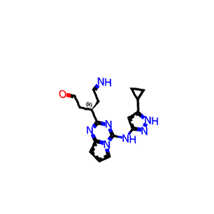 N=CC[C@H](CC=O)c1nc(Nc2cc(C3CC3)[nH]n2)n2cccc2n1